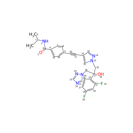 CC(C)NC(=O)c1ccc(C#Cc2cnn(CC(O)(Cn3cncn3)c3ccc(F)cc3F)c2)cc1